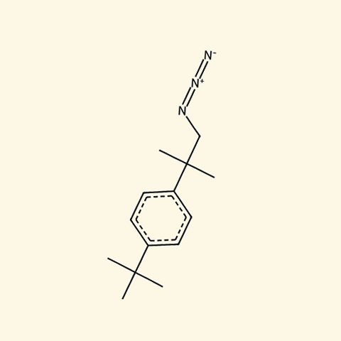 CC(C)(C)c1ccc(C(C)(C)CN=[N+]=[N-])cc1